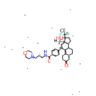 C[C@]12C[C@H](c3ccc(C(=O)NCCCN4CCOCC4)cc3)C3=C4CCC(=O)C=C4CCC3C1CC[C@]2(O)C(F)(F)C(F)(F)F